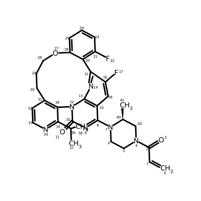 C=CC(=O)N1CCN(c2nc(=O)n3c4nc(c(F)cc24)-c2c(F)cccc2OCCCc2ccnc(C(C)C)c2-3)[C@@H](C)C1